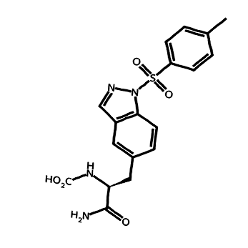 Cc1ccc(S(=O)(=O)n2ncc3cc(C[C@H](NC(=O)O)C(N)=O)ccc32)cc1